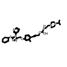 Cc1cc(OCc2nnc(SC3C=CCCC3)n2-c2cccnc2)ccc1C#CCOC(O)NCCN1CCN(C(C)C)CC1